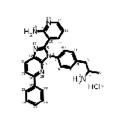 CC(N)Cc1ccc(-n2c(-c3cccnc3N)nc3ccc(-c4ccccc4)nc32)cc1.Cl